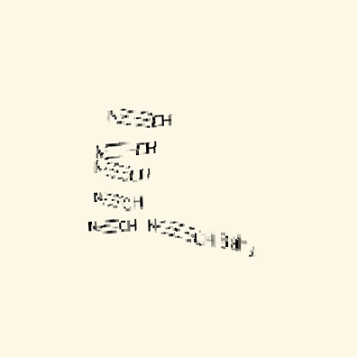 C#N.C#N.C#N.C#N.C#N.C#N.[BaH2]